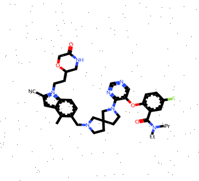 CCN(C(=O)c1cc(F)ccc1Oc1cncnc1N1CCC2(CCN(Cc3ccc4c(cc(C#N)n4CCC4CNC(=O)CO4)c3C)C2)C1)C(C)C